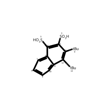 CC(C)(C)c1c(S(=O)(=O)O)c(S(=O)(=O)O)c2ccccc2c1C(C)(C)C